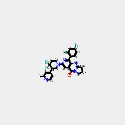 Cc1cc(C2CN(c3cc4c(=O)n5c(nc4c(-c4ccc(F)cc4F)n3)CCC5)CCC2(F)F)ccn1